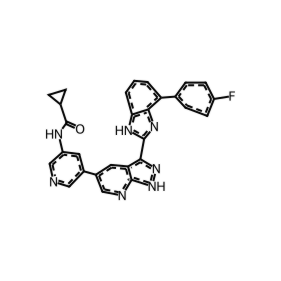 O=C(Nc1cncc(-c2cnc3[nH]nc(-c4nc5c(-c6ccc(F)cc6)cccc5[nH]4)c3c2)c1)C1CC1